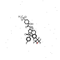 CS(=O)(=O)N1CCC(O)(C(=O)N[C@@H]2CC(C=O)[C@]3(S(=O)(=O)c4ccc(F)cc4)c4ccc(C(F)(C(F)(F)F)C(F)(F)F)cc4CC[C@@H]23)CC1